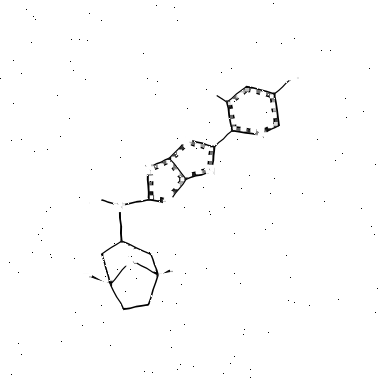 CN(c1nc2sc(-c3ncc(Br)cc3O)nc2s1)C1C[C@H]2CC[C@@H](C1)N2